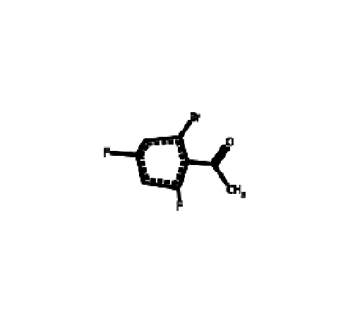 CC(=O)c1c(F)cc(F)cc1Br